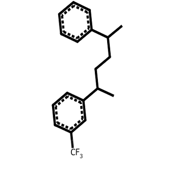 CC(CCC(C)c1cccc(C(F)(F)F)c1)c1ccccc1